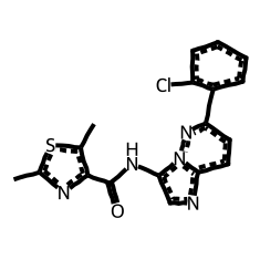 Cc1nc(C(=O)Nc2cnc3ccc(-c4ccccc4Cl)nn23)c(C)s1